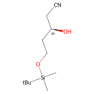 CC(C)(C)[Si](C)(C)OCC[C@H](O)CC#N